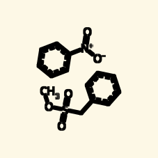 COS(=O)(=O)Cc1ccccc1.O=[N+]([O-])c1ccccc1